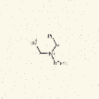 CCCCCN(CC(C)C)CC(C)C